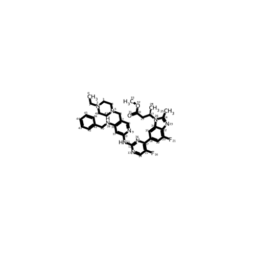 CCN1CCN(Cc2cnc(Nc3ncc(F)c(-c4cc(F)c5nc(C)n([C@H](C)CC(=O)OC)c5c4)n3)cc2NCc2ccccc2)CC1